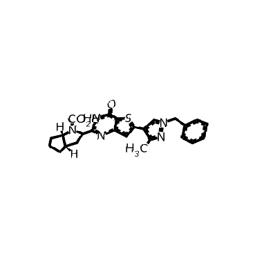 Cc1nn(Cc2ccccc2)cc1-c1cc2nc(C3C[C@@H]4CCC[C@@H]4N3C(=O)O)[nH]c(=O)c2s1